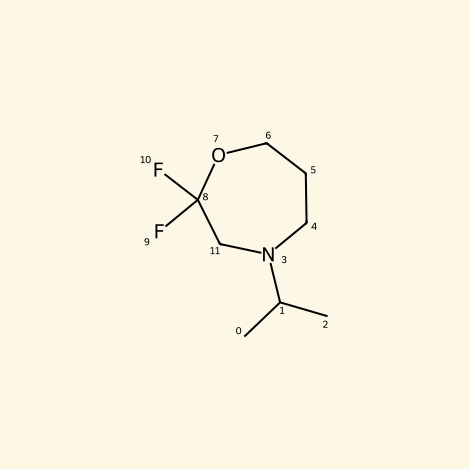 CC(C)N1CCCOC(F)(F)C1